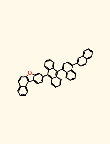 c1ccc2cc(-c3ccc(-c4c5ccccc5c(-c5ccc6c(c5)oc5ccc7ccccc7c56)c5ccccc45)c4ccccc34)ccc2c1